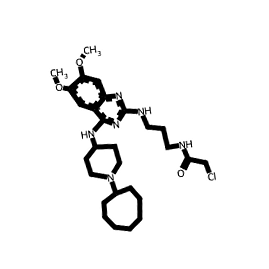 COc1cc2nc(NCCCNC(=O)CCl)nc(NC3CCN(C4CCCCCCC4)CC3)c2cc1OC